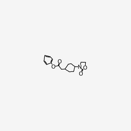 O=C(CC1CCC(N2CCOC2=O)CC1)Oc1ccccc1